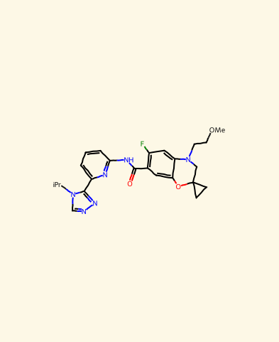 COCCN1CC2(CC2)Oc2cc(C(=O)Nc3cccc(-c4nncn4C(C)C)n3)c(F)cc21